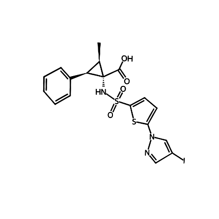 C[C@@H]1[C@H](c2ccccc2)[C@]1(NS(=O)(=O)c1ccc(-n2cc(I)cn2)s1)C(=O)O